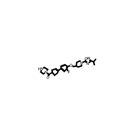 CC(C)c1noc(N2CCC(COc3ccc(C4=CCC(C(=O)N5CCNCC5)CC4)cc3F)CC2)n1